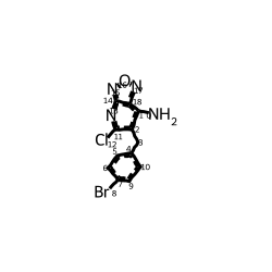 Nc1c(Cc2ccc(Br)cc2)c(Cl)nc2nonc12